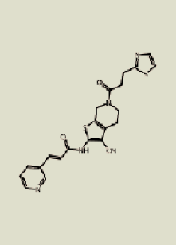 N#Cc1c(NC(=O)/C=C/c2cccnc2)sc2c1CCN(C(=O)CCc1nccs1)C2